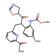 COC(=O)c1cccc(CC(C(=O)C2CN=CO2)c2ccc(OC)cc2NC(=O)OC(C)(C)C)n1